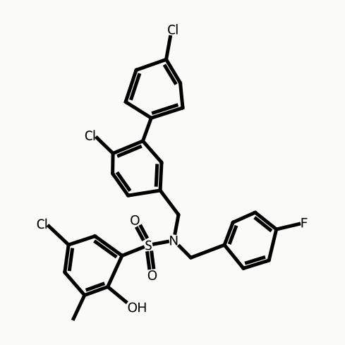 Cc1cc(Cl)cc(S(=O)(=O)N(Cc2ccc(F)cc2)Cc2ccc(Cl)c(-c3ccc(Cl)cc3)c2)c1O